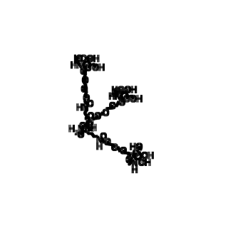 CC(=O)N[C@H]1[C@H](OCCOCCOCCOCC(=O)NCCCC[C@H](NC(=O)[C@H](CCCCNC(=O)COCCOCCOCCO[C@@H]2O[C@H](CO)[C@H](O)[C@H](O)[C@H]2NC(C)=O)NC(=O)COCCOCCOCCO[C@@H]2O[C@H](CO)[C@H](O)[C@H](O)[C@H]2NC(C)=O)C(N)=O)O[C@H](CO)[C@H](O)[C@@H]1O